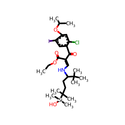 CCOC(=O)C(=CNC(CCC(C)(C)[Si](C)(C)O)C(C)(C)C)C(=O)c1cc(I)c(OC(C)C)cc1Cl